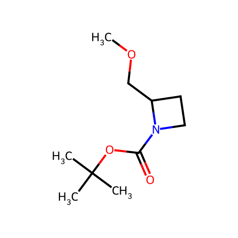 COCC1CCN1C(=O)OC(C)(C)C